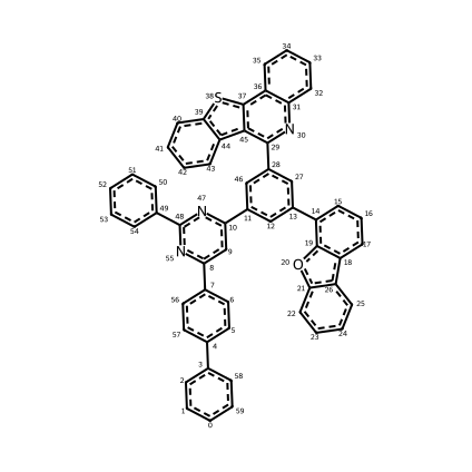 c1ccc(-c2ccc(-c3cc(-c4cc(-c5cccc6c5oc5ccccc56)cc(-c5nc6ccccc6c6sc7ccccc7c56)c4)nc(-c4ccccc4)n3)cc2)cc1